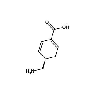 NC[C@H]1C=CC(C(=O)O)=CC1